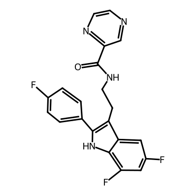 O=C(NCCc1c(-c2ccc(F)cc2)[nH]c2c(F)cc(F)cc12)c1cnccn1